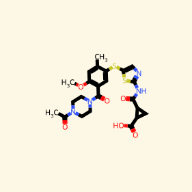 COc1cc(C)c(Sc2cnc(NC(=O)C3CC3C(=O)O)s2)cc1C(=O)N1CCN(C(C)=O)CC1